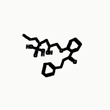 CCCN(CC(O)COc1ccccc1C(=O)CCc1ccccc1)P(=O)(O)O